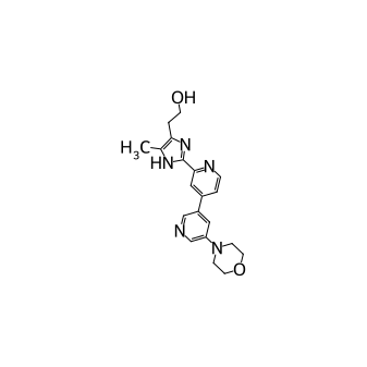 Cc1[nH]c(-c2cc(-c3cncc(N4CCOCC4)c3)ccn2)nc1CCO